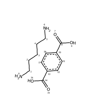 NCCCCCN.O=C(O)c1ccc(C(=O)O)cc1